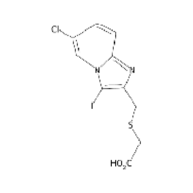 O=C(O)CSCc1nc2ccc(Cl)cn2c1I